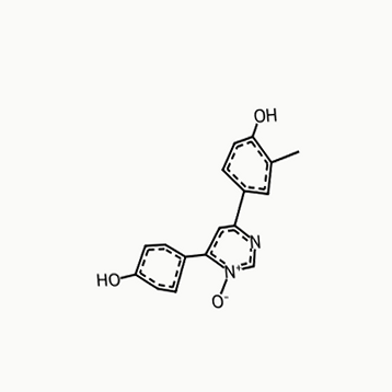 Cc1cc(-c2cc(-c3ccc(O)cc3)[n+]([O-])cn2)ccc1O